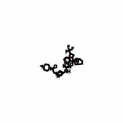 CN1CCN(C(=O)Cn2cc(Nc3nc4c(N5CC6CCC(C5)N6C(=O)C5CC(C(F)(F)F)C5)cccn4n3)cn2)CC1